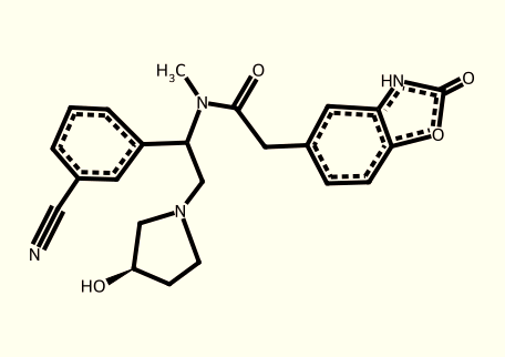 CN(C(=O)Cc1ccc2oc(=O)[nH]c2c1)C(CN1CC[C@@H](O)C1)c1cccc(C#N)c1